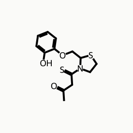 CC(=O)CC(=S)N1CCSC1COc1ccccc1O